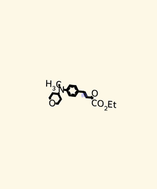 CCOC(=O)C(=O)/C=C/c1ccc(N(C)C2CCOCC2)cc1